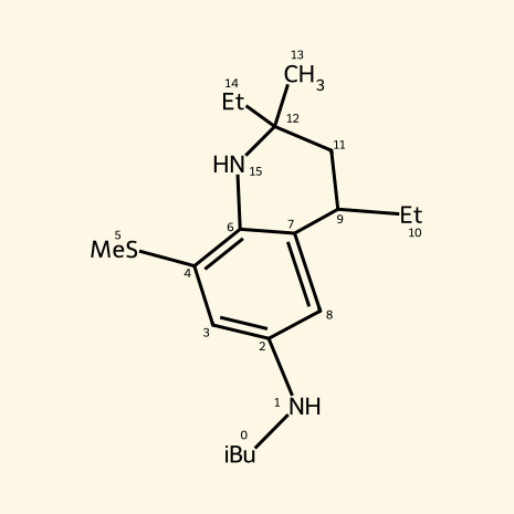 CCC(C)Nc1cc(SC)c2c(c1)C(CC)CC(C)(CC)N2